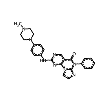 CN1CCN(c2ccc(Nc3ncc4c(=O)n(-c5ccccc5)c5nccn5c4n3)cc2)CC1